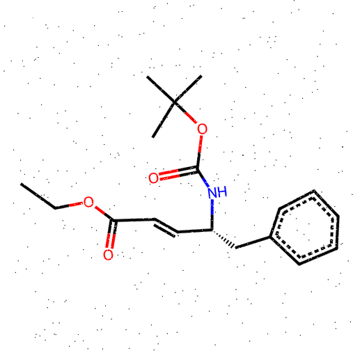 CCOC(=O)C=C[C@@H](Cc1ccccc1)NC(=O)OC(C)(C)C